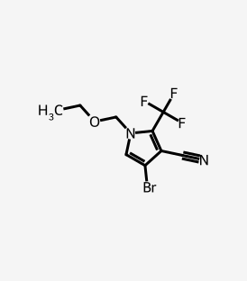 CCOCn1cc(Br)c(C#N)c1C(F)(F)F